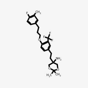 Cc1cc(CCCOc2ccc(CCC3(N)COC(C)(C)OC3)cc2C(F)(F)F)ccc1F